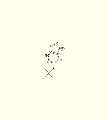 CC(C)(C)Cc1cnc2cc[nH]c2c1